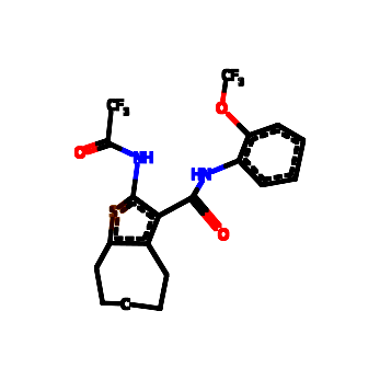 O=C(Nc1ccccc1OC(F)(F)F)c1c(NC(=O)C(F)(F)F)sc2c1CCCCC2